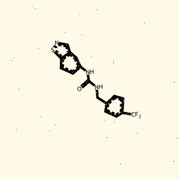 O=C(NCc1ccc(C(F)(F)F)cc1)Nc1ccc2sncc2c1